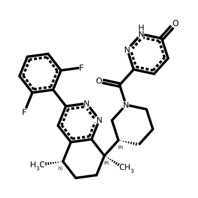 C[C@H]1CC[C@](C)([C@H]2CCCN(C(=O)c3ccc(=O)[nH]n3)C2)c2nnc(-c3c(F)cccc3F)cc21